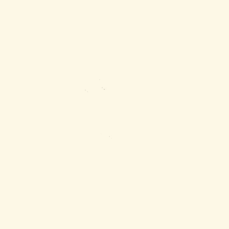 CC(C)Cn1[c]c(-c2ccccc2)c2cc(-c3noc(=O)[nH]3)ccc2c1=O